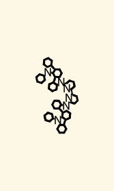 c1ccc(-n2c3ccccc3c3ccc4c(c5ccccc5n4-c4cccc(-c5cccc(-n6c7ccccc7c7c6ccc6c8ccccc8n(-c8ccccc8)c67)n5)n4)c32)cc1